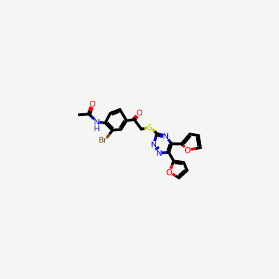 CC(=O)Nc1ccc(C(=O)CSc2nnc(-c3ccco3)c(-c3ccco3)n2)cc1Br